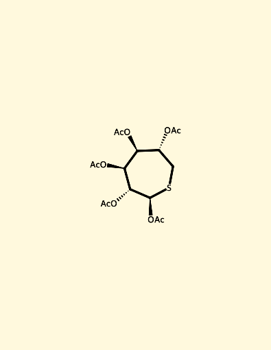 CC(=O)O[C@@H]1[C@@H](OC(C)=O)[C@H](OC(C)=O)SC[C@@H](OC(C)=O)[C@@H]1OC(C)=O